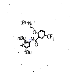 CCCCn1/c(=N/C(=O)c2cc(C(F)(F)F)ccc2OCCNC(C)(C)C)cc(C(C)(C)C)n1C